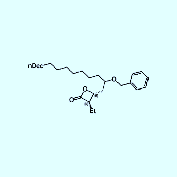 CCCCCCCCCCCCCCCCCC(C[C@H]1OC(=O)[C@@H]1CC)OCc1ccccc1